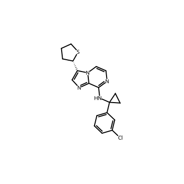 Clc1cccc(C2(Nc3nccn4c([C@@H]5CCCS5)cnc34)CC2)c1